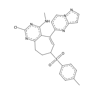 CNc1nc(Cl)nc2c1C(c1ccn3nccc3n1)=CC(S(=O)(=O)c1ccc(C)cc1)CC2